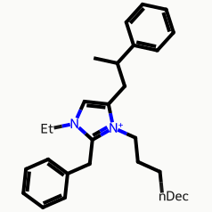 CCCCCCCCCCCCC[n+]1c(CC(C)c2ccccc2)cn(CC)c1Cc1ccccc1